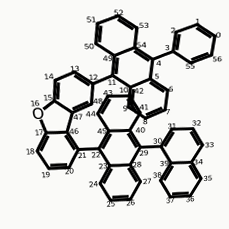 c1ccc(-c2c3ccccc3c(-c3ccc4oc5cccc(-c6c7ccccc7c(-c7cccc8ccccc78)c7ccccc67)c5c4c3)c3ccccc23)cc1